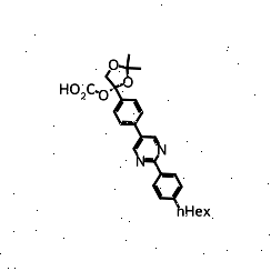 CCCCCCc1ccc(-c2ncc(-c3ccc([C@@]4(OC(=O)O)COC(C)(C)O4)cc3)cn2)cc1